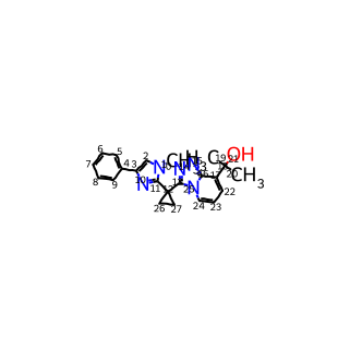 Cn1cc(-c2ccccc2)nc1C1(c2nnc3c(C(C)(C)O)cccn23)CC1